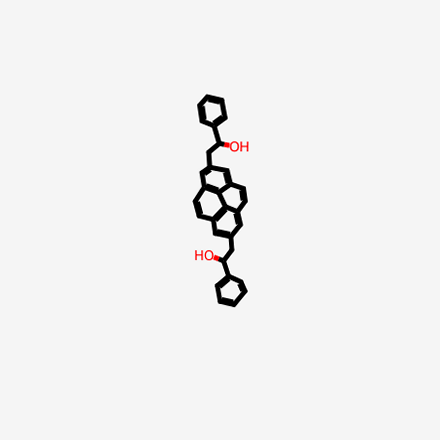 OC(Cc1cc2ccc3cc(CC(O)c4ccccc4)cc4ccc(c1)c2c34)c1ccccc1